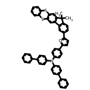 CC1(C)c2ccc(-c3ccc(-c4ccc(N(c5ccc(-c6ccccc6)cc5)c5ccc(-c6ccccc6)cc5)cc4)o3)cc2-c2cc3c(cc21)Sc1ccccc1S3